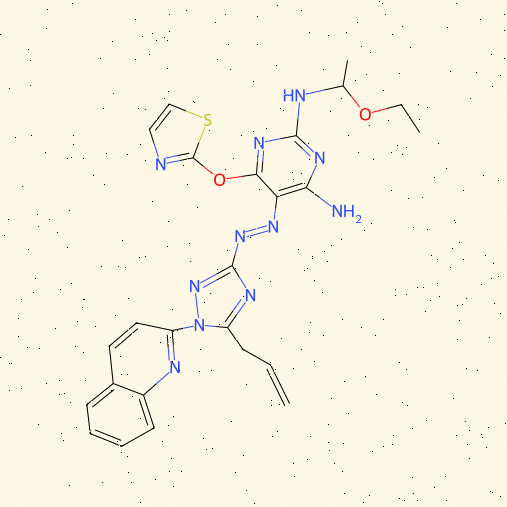 C=CCc1nc(N=Nc2c(N)nc(NC(C)OCC)nc2Oc2nccs2)nn1-c1ccc2ccccc2n1